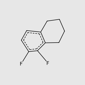 Fc1ccc2c(c1F)CCCC2